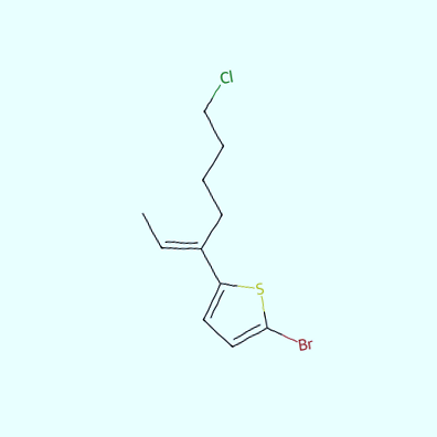 CC=C(CCCCCl)c1ccc(Br)s1